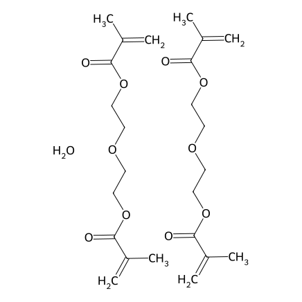 C=C(C)C(=O)OCCOCCOC(=O)C(=C)C.C=C(C)C(=O)OCCOCCOC(=O)C(=C)C.O